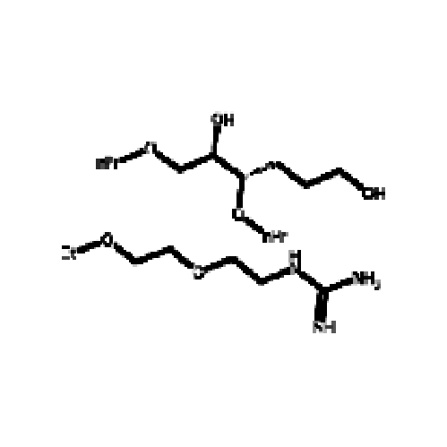 CCCOC[C@@H](O)[C@H](CCCO)OCCC.CCOCCOCCNC(=N)N